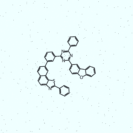 c1ccc(-c2nc(-c3cccc(-c4ccc5ccc6nc(-c7ccccc7)sc6c5c4)c3)nc(-c3ccc4oc5ccccc5c4c3)n2)cc1